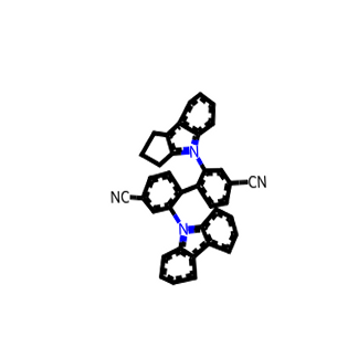 N#Cc1ccc(-c2ccc(C#N)cc2-n2c3ccccc3c3ccccc32)c(-n2c3c(c4ccccc42)CCC3)c1